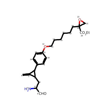 C=C1C(CC(N)C=O)C1c1ccc(OCCCCCCC2(C(=O)OCC)CO2)cc1